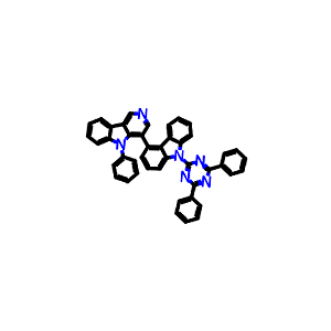 c1ccc(-c2nc(-c3ccccc3)nc(-n3c4ccccc4c4c(-c5cncc6c7ccccc7n(-c7ccccc7)c56)cccc43)n2)cc1